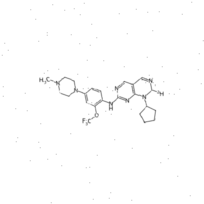 [2H]C1N=Cc2cnc(Nc3ccc(N4CCN(C)CC4)cc3OC(F)(F)F)nc2N1C1CCCC1